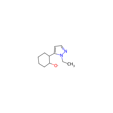 CCn1nccc1C1CCCCC1[O]